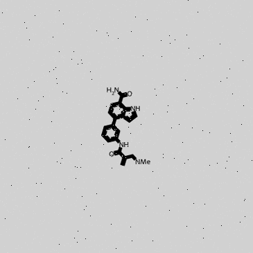 C=C(CNC)C(=O)Nc1cccc(-c2ccc(C(N)=O)c3[nH]ccc23)c1